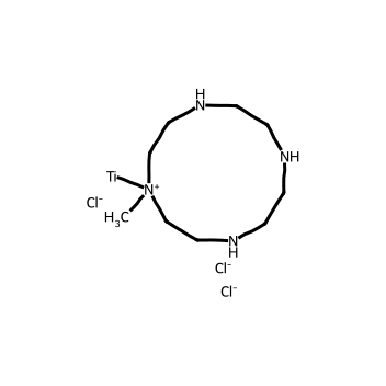 C[N+]1([Ti])CCNCCNCCNCC1.[Cl-].[Cl-].[Cl-]